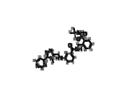 Cn1c(CNc2cccc(C(=O)NCc3ccccc3S(=O)(=O)NC(C)(C)C)c2)nnc1-c1ccncn1